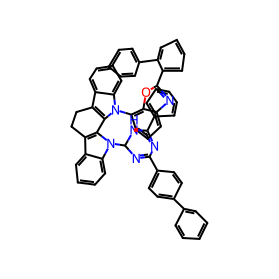 c1ccc(C2=NC(c3ccc(-c4ccccc4)cc3)=NC(n3c4c(c5ccccc53)CCc3c-4n(-c4cccc5nc(-c6ccccc6-c6ccccc6)oc45)c4ccccc34)N2)cc1